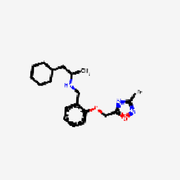 CC(CC1CCCCC1)NCc1ccccc1OCc1nc(C(C)C)no1